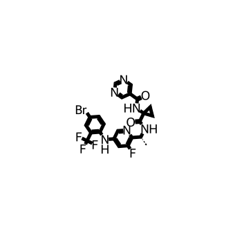 C[C@@H](NC(=O)C1(NC(=O)c2cncnc2)CC1)c1ncc(Nc2ccc(Br)cc2C(F)(F)F)cc1F